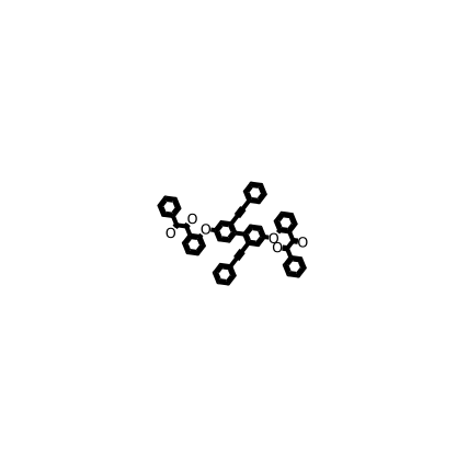 O=C(C(=O)c1ccccc1Oc1ccc(-c2ccc(Oc3ccccc3C(=O)C(=O)c3ccccc3)cc2C#Cc2ccccc2)c(C#Cc2ccccc2)c1)c1ccccc1